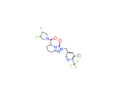 O=C(C1CCCc2nn(Cc3cnc(C(F)(F)F)c(Cl)c3)c(=O)n21)N1CC(F)C(F)C1